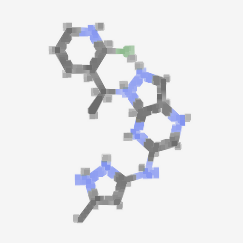 Cc1cc(Nc2cnc3cnn([C@@H](C)c4cccnc4Cl)c3n2)n[nH]1